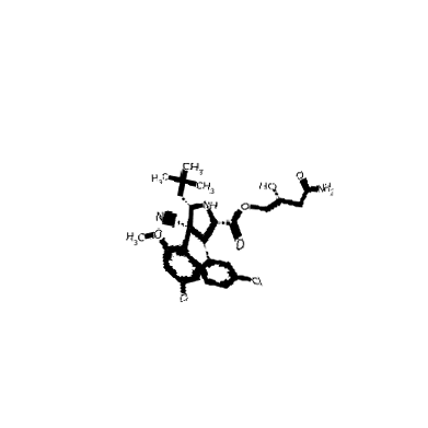 COc1cc(Cl)ccc1[C@@]1(C#N)[C@H](CC(C)(C)C)N[C@H](C(=O)OC[C@H](O)CC(N)=O)[C@@H]1c1cccc(Cl)c1